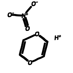 C1=COC=CO1.O=[N+]([O-])[O-].[H+]